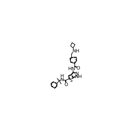 CC(C)(NC(=O)c1cc2c(NC(=O)c3ccc(CNC4CCC4)cc3)n[nH]c2s1)c1ccccc1